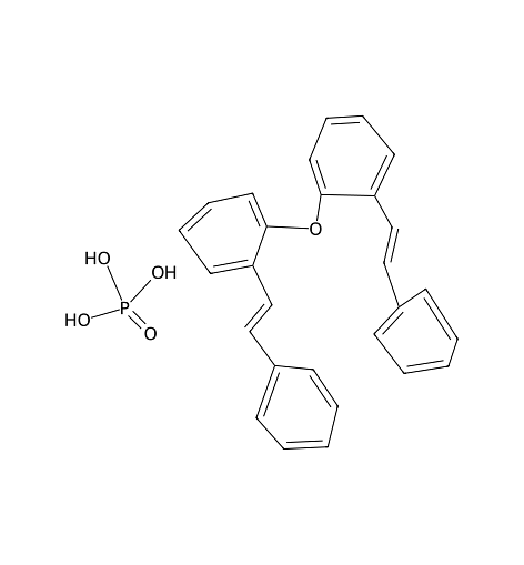 C(=Cc1ccccc1Oc1ccccc1C=Cc1ccccc1)c1ccccc1.O=P(O)(O)O